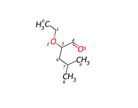 CCOC(C=O)CC(C)C